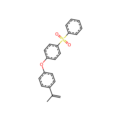 C=C(C)c1ccc(Oc2ccc(S(=O)(=O)c3ccccc3)cc2)cc1